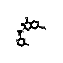 Cc1ccnc([C@H]2C[C@@H]2c2nc3cc(N)ncc3c(=O)[nH]2)n1